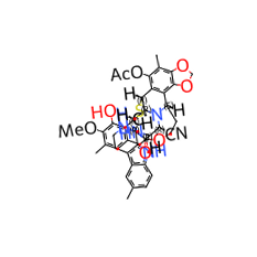 COc1c(C)cc2c(c1O)[C@H]1N[C@H](C2)[C@H](C#N)N2[C@H]1[C@@H]1SC[C@]3(NCCc4c3[nH]c3ccc(C)cc43)C(=O)OCC[C@H]2c2c3c(c(C)c(OC(C)=O)c21)OCO3